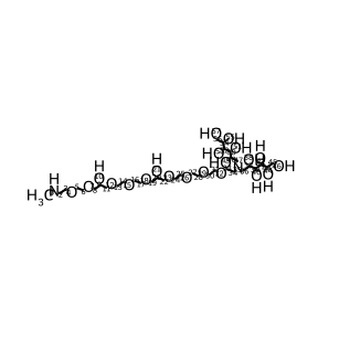 CNCCOCCOCC(O)COCCOCCOCC(O)COCCOCCOCCOCCN(C[C@H](O)[C@@H](O)[C@H](O)[C@H](O)CO)C[C@H](O)[C@@H](O)[C@H](O)[C@H](O)CO